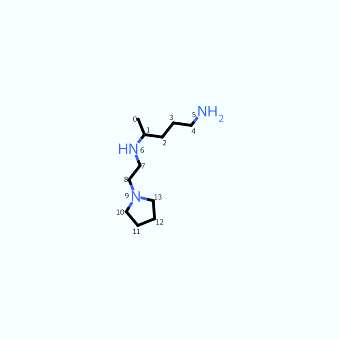 CC(CCCN)NCCN1CCCC1